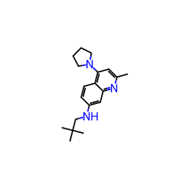 Cc1cc(N2CCCC2)c2ccc(NCC(C)(C)C)cc2n1